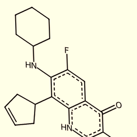 O=C(O)c1c[nH]c2c(C3CC=CC3)c(NC3CCCCC3)c(F)cc2c1=O